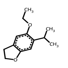 CCOc1cc2c(cc1C(C)C)OCC2